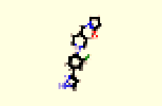 O=C1CCCN1CC1CCN(c2ccc(-c3cc[nH]n3)cc2F)CC1